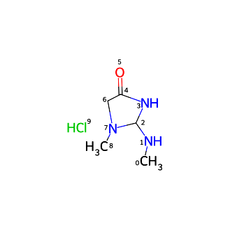 CNC1NC(=O)CN1C.Cl